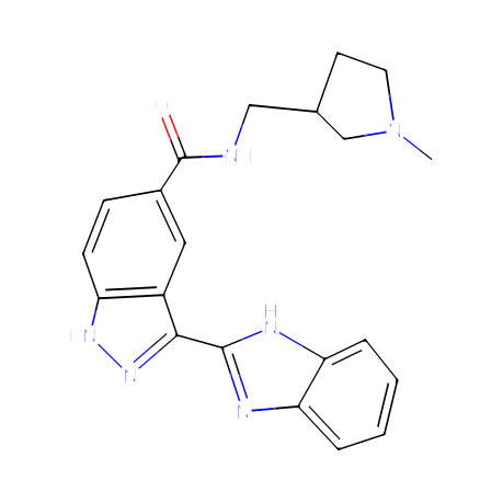 CN1CCC(CNC(=O)c2ccc3[nH]nc(-c4nc5ccccc5[nH]4)c3c2)C1